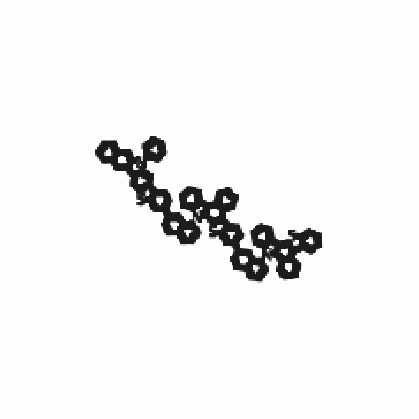 c1ccc(-n2c3cc4ccccc4cc3c3cc4sc5cc(-c6ccc7cccc(-n8c9ccccc9c9c%10ccccc%10c%10c%11ccc(-c%12ccc%13cccc(-n%14c%15ccccc%15c%15c%16sc%17ccccc%17c%16c%16ccccc%16c%15%14)c%13c%12)cc%11sc%10c98)c7c6)ccc5c4cc32)cc1